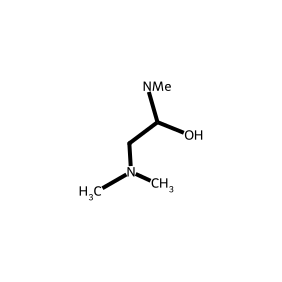 CNC(O)CN(C)C